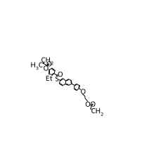 C=CC(=O)OCCCCOc1ccc(-c2ccc3cc(SC(=O)c4ccc(OC(=O)C(=C)C)cc4CC)ccc3c2)cc1